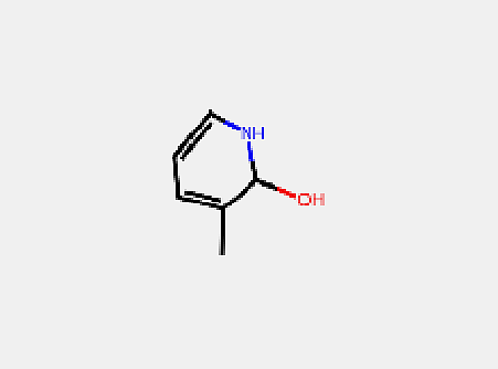 CC1=CC=CNC1O